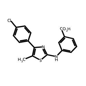 Cc1sc(Nc2cccc(C(=O)O)c2)nc1-c1ccc(Cl)cc1